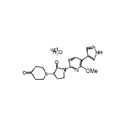 COc1nc(N2CCC(N3CCC(=O)CC3)C2=O)ccc1-c1cn[nH]c1.Cl.O